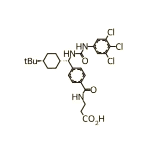 CC(C)(C)[C@H]1CC[C@H](C(NC(=O)Nc2cc(Cl)c(Cl)c(Cl)c2)c2ccc(C(=O)NCCC(=O)O)cc2)CC1